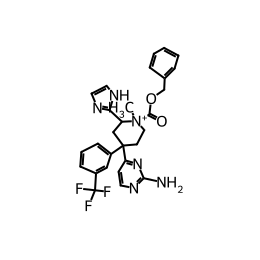 C[N+]1(C(=O)OCc2ccccc2)CCC(c2cccc(C(F)(F)F)c2)(c2ccnc(N)n2)CC1c1ncc[nH]1